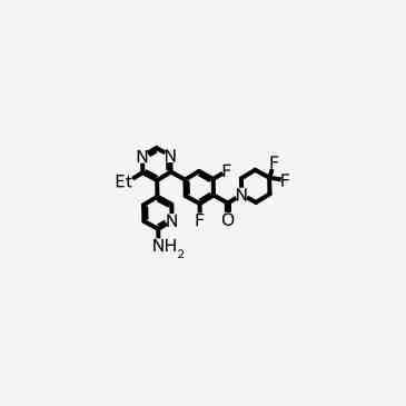 CCc1ncnc(-c2cc(F)c(C(=O)N3CCC(F)(F)CC3)c(F)c2)c1-c1ccc(N)nc1